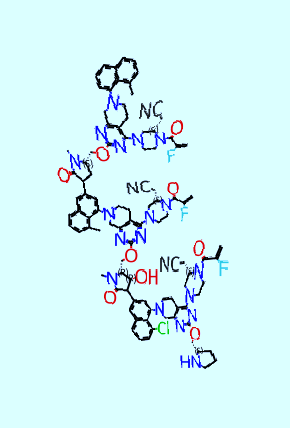 C=C(F)C(=O)N1CCN(c2nc(OC[C@@H]3CC(c4cc(N5CCc6c(nc(OC[C@@H]7[C@H](O)C(c8cc(N9CCc%10c(nc(OC[C@@H]%11CCCN%11)nc%10N%10CCN(C(=O)C(=C)F)[C@@H](CC#N)C%10)C9)c9c(Cl)cccc9c8)C(=O)N7C)nc6N6CCN(C(=O)C(=C)F)[C@@H](CC#N)C6)C5)c5c(C)cccc5c4)C(=O)N3C)nc3c2CCN(c2cccc4cccc(C)c24)C3)C[C@@H]1CC#N